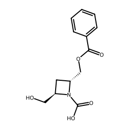 O=C(OC[C@H]1C[C@H](CO)N1C(=O)O)c1ccccc1